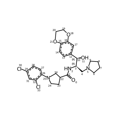 O=C(N[C@H](CN1CCCC1)[C@H](O)c1ccc2c(c1)OCCO2)C1CCN(c2ccc(Cl)cc2Cl)C1